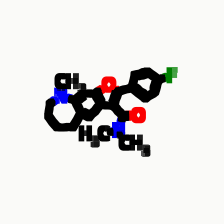 CN(C)C(=O)c1c(-c2ccc(F)cc2)oc2cc3c(cc12)CCCCN3C